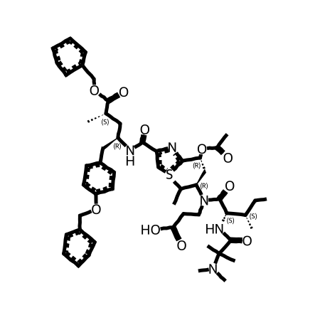 CC[C@H](C)[C@H](NC(=O)C(C)(C)N(C)C)C(=O)N(CCC(=O)O)[C@H](C[C@@H](OC(C)=O)c1nc(C(=O)N[C@@H](Cc2ccc(OCc3ccccc3)cc2)C[C@H](C)C(=O)OCc2ccccc2)cs1)C(C)C